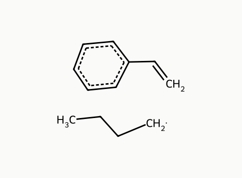 C=Cc1ccccc1.[CH2]CCC